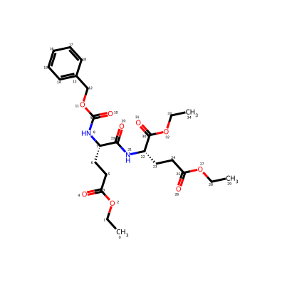 CCOC(=O)CC[C@H](NC(=O)OCc1ccccc1)C(=O)N[C@@H](CCC(=O)OCC)C(=O)OCC